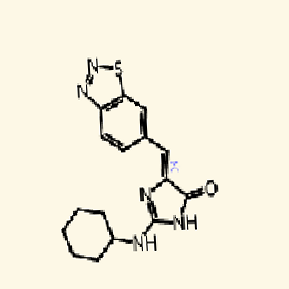 O=C1NC(NC2CCCCC2)=N/C1=C\c1ccc2nnsc2c1